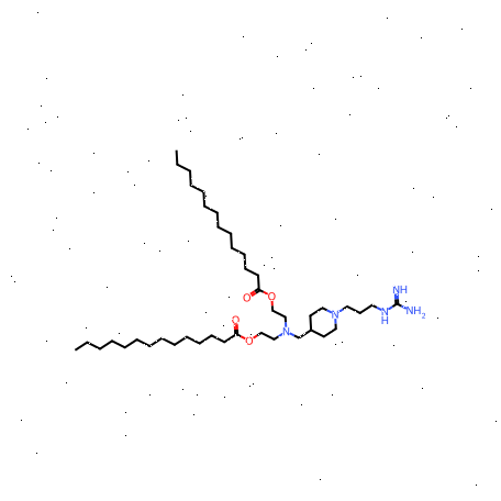 CCCCCCCCCCCCCC(=O)OCCN(CCOC(=O)CCCCCCCCCCCCC)CC1CCN(CCCNC(=N)N)CC1